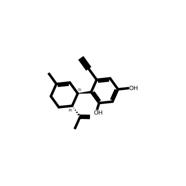 C#Cc1cc(O)cc(O)c1[C@@H]1C=C(C)CC[C@H]1C(=C)C